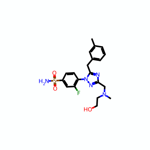 Cc1cccc(Cc2nc(CN(C)CCO)nn2-c2ccc(S(N)(=O)=O)cc2F)c1